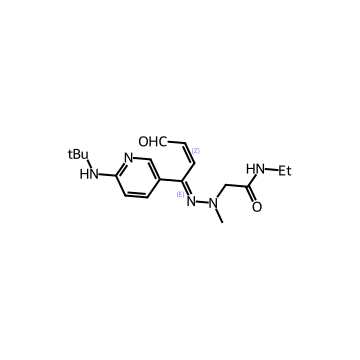 CCNC(=O)CN(C)/N=C(\C=C/C=O)c1ccc(NC(C)(C)C)nc1